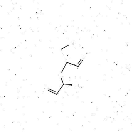 N[C@@H](C=O)O[C@@H](C=O)CO